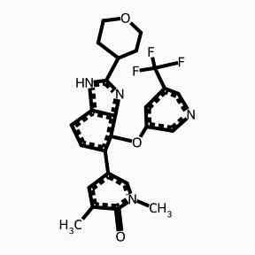 Cc1cc(-c2ccc3[nH]c(C4CCOCC4)nc3c2Oc2cncc(C(F)(F)F)c2)cn(C)c1=O